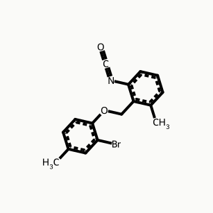 Cc1ccc(OCc2c(C)cccc2N=C=O)c(Br)c1